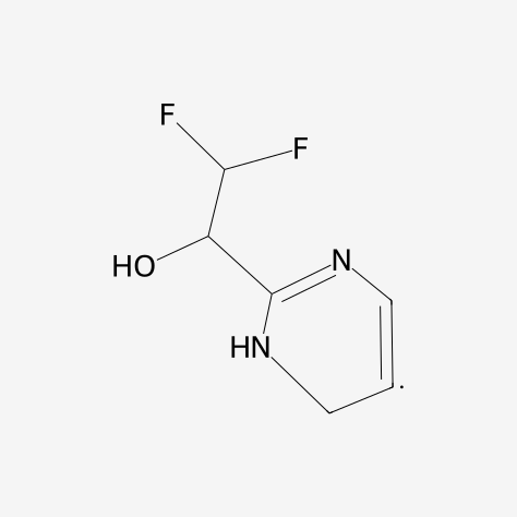 OC(C1=NC=[C]CN1)C(F)F